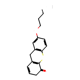 O=C1CC=CC2=C1Sc1ccc(OCCCS(=O)(=O)O)cc1C2